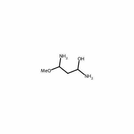 COC(N)CC(N)O